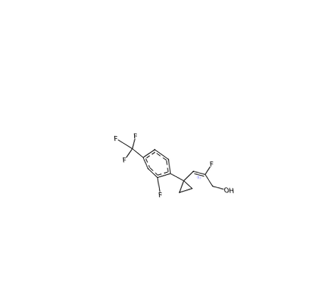 OC/C(F)=C\C1(c2ccc(C(F)(F)F)cc2F)CC1